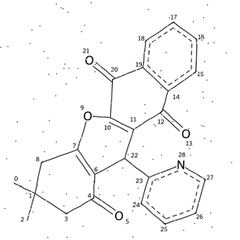 CC1(C)CC(=O)C2=C(C1)OC1=C(C(=O)c3ccccc3C1=O)C2c1ccccn1